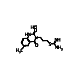 Cc1ccc2[nH]c(=O)n(CCCSC(=N)N)c(=O)c2c1.Cl